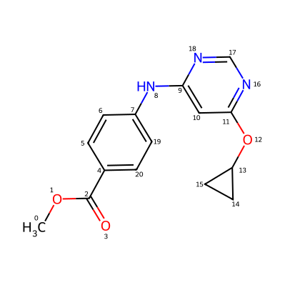 COC(=O)c1ccc(Nc2cc(OC3CC3)ncn2)cc1